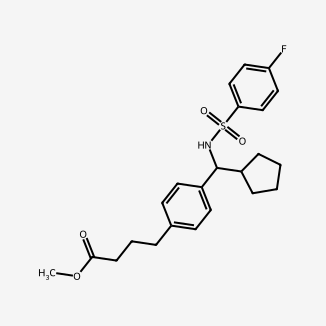 COC(=O)CCCc1ccc(C(NS(=O)(=O)c2ccc(F)cc2)C2CCCC2)cc1